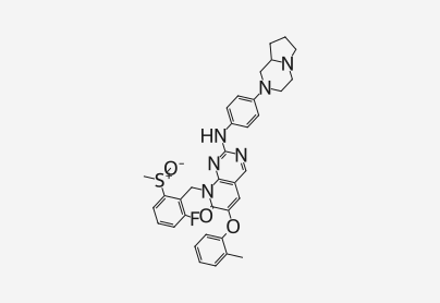 Cc1ccccc1Oc1cc2cnc(Nc3ccc(N4CCN5CCCC5C4)cc3)nc2n(Cc2c(F)cccc2[S+](C)[O-])c1=O